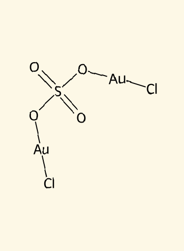 O=S(=O)([O][Au][Cl])[O][Au][Cl]